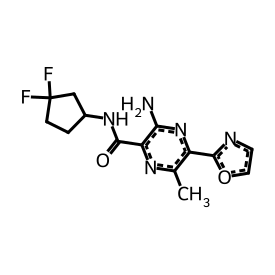 Cc1nc(C(=O)NC2CCC(F)(F)C2)c(N)nc1-c1ncco1